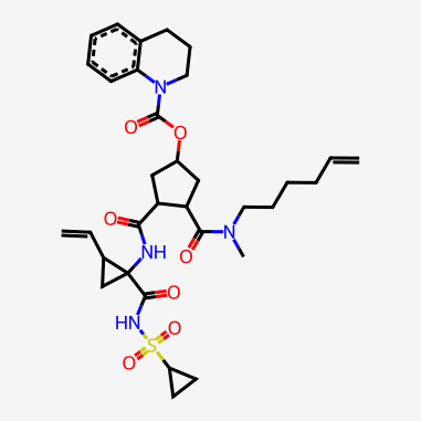 C=CCCCCN(C)C(=O)C1CC(OC(=O)N2CCCc3ccccc32)CC1C(=O)NC1(C(=O)NS(=O)(=O)C2CC2)CC1C=C